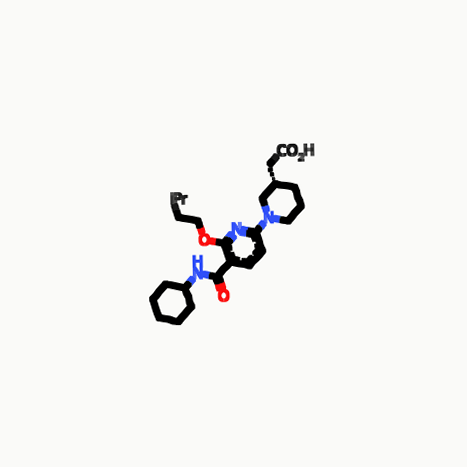 CC(C)CCOc1nc(N2CCC[C@@H](CC(=O)O)C2)ccc1C(=O)NC1CCCCC1